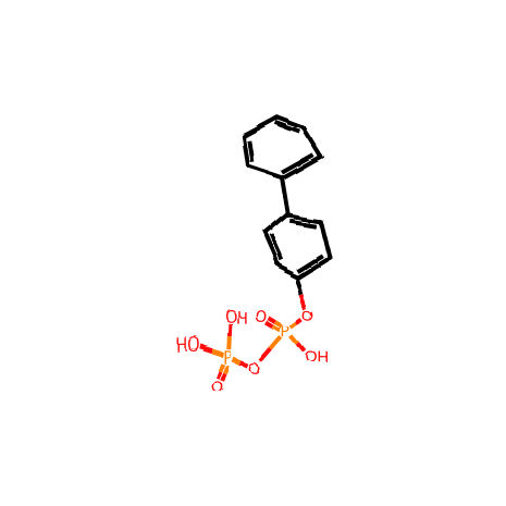 O=P(O)(O)OP(=O)(O)Oc1ccc(-c2ccccc2)cc1